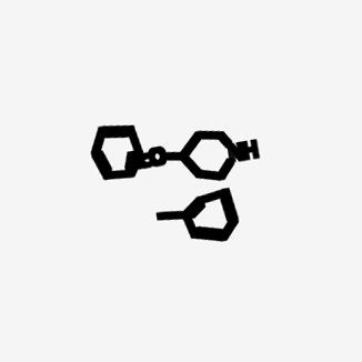 CC(=O)OC1CCNCC1.Cc1ccccc1.c1ccccc1